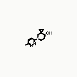 O[C@H]1CCN(c2ccc(I)nn2)CC12CC2